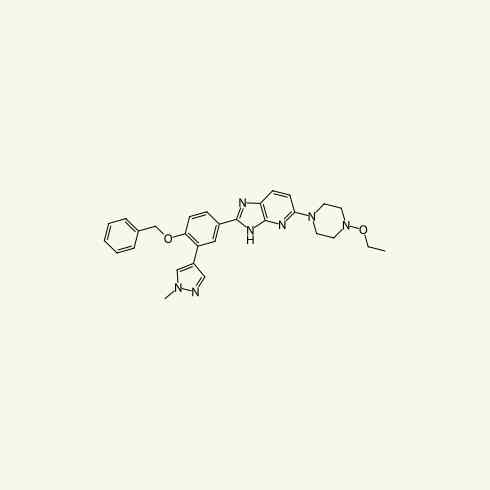 CCON1CCN(c2ccc3nc(-c4ccc(OCc5ccccc5)c(-c5cnn(C)c5)c4)[nH]c3n2)CC1